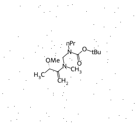 C=C([C@H](C)OC)N(C)CN(CCC)C(=O)OC(C)(C)C